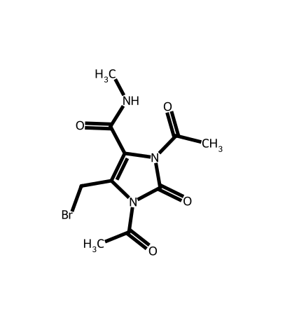 CNC(=O)c1c(CBr)n(C(C)=O)c(=O)n1C(C)=O